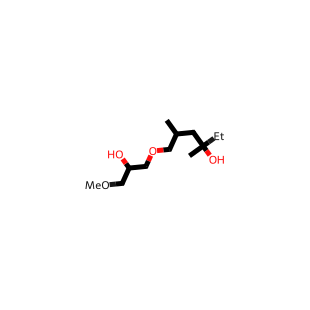 CCC(C)(O)CC(C)COCC(O)COC